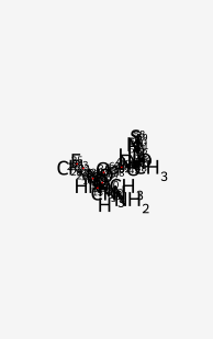 Cc1nc(N)ccc1CNC(=O)[C@H](C)NC(=O)[C@H]1C[C@H](Cc2ccc(F)c(Cl)c2)CN1CCC(=O)Oc1ccc([C@@H]2CN[C@@H](C(=O)N[C@@H](C)C(=O)NCc3cnc4sccc4c3)C2)cc1